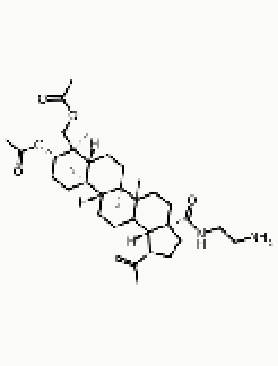 C=C(C)[C@@H]1CC[C@]2(C(=O)NCCN)CC[C@]3(C)C(CC[C@@H]4[C@@]5(C)CC[C@H](OC(C)=O)[C@@](C)(COC(C)=O)[C@@H]5CC[C@]43C)[C@@H]12